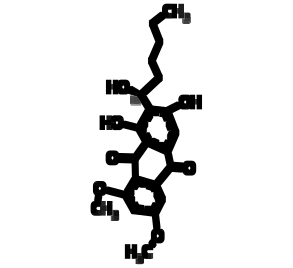 CCCCC[C@H](O)c1c(O)cc2c(c1O)C(=O)c1c(OC)cc(OC)cc1C2=O